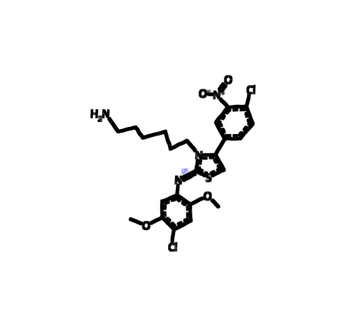 COc1cc(/N=c2\scc(-c3ccc(Cl)c([N+](=O)[O-])c3)n2CCCCCCN)c(OC)cc1Cl